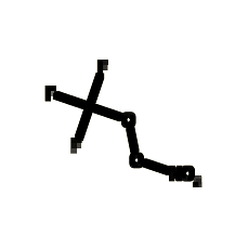 O=[N+]([O-])OOC(F)(F)F